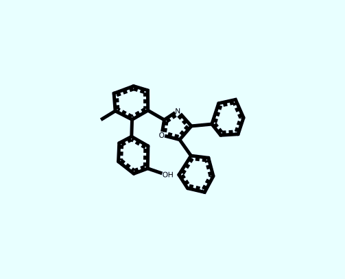 Cc1cccc(-c2nc(-c3ccccc3)c(-c3ccccc3)o2)c1-c1cccc(O)c1